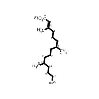 CCOC(=O)/C=C(\C)CCCC(C)CCCC(C)CCCC(C)C